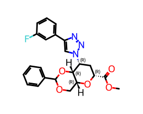 COC(=O)[C@H]1C[C@@H](n2cc(-c3cccc(F)c3)nn2)[C@H]2OC(c3ccccc3)OC[C@H]2O1